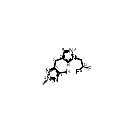 Cn1nc(I)c(Cc2cnn(CC(F)F)c2)n1